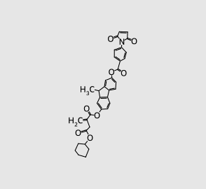 C=C(CC(=O)OC1CCCCC1)C(=O)Oc1ccc2c(c1)C(C)c1cc(OC(=O)c3ccc(N4C(=O)C=CC4=O)cc3)ccc1-2